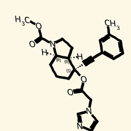 COC(=O)N1CC[C@@H]2[C@H]1CCC[C@]2(C#Cc1cccc(C)c1)OC(=O)Cn1ccnc1